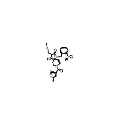 CSCCC1NC2(CCN(C(=O)c3cc(C)oc3C)CC2)N(Cc2ccccc2[N+](=O)[O-])C1=O